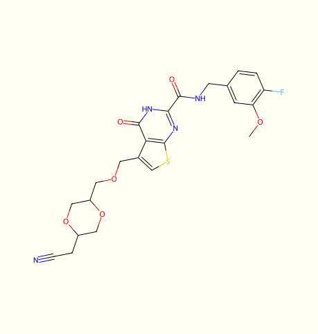 COc1cc(CNC(=O)c2nc3scc(COCC4COC(CC#N)CO4)c3c(=O)[nH]2)ccc1F